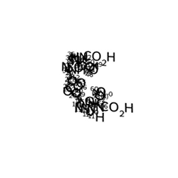 C[C@@H]1CC(C(NC(=O)O)C(=O)N2CCC[C@H]2c2ncc(-c3cc4c5c(c3)OCc3cc(-c6cnc([C@@H]7CCCN7C(=O)C(NC(=O)O)C7C[C@@H](C)O[C@H](C)C7)[nH]6)cc(c3-5)OC4)[nH]2)C[C@@H](C)O1